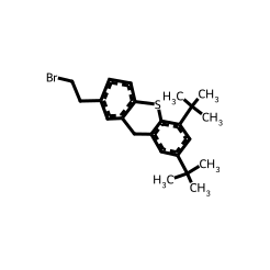 CC(C)(C)c1cc2c(c(C(C)(C)C)c1)Sc1ccc(CCBr)cc1C2